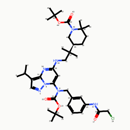 CC(C)c1cnn2c(N(Cc3cccc(NC(=O)CCl)c3)C(=O)OC(C)(C)C)cc(NCC(C)(C)[C@@H]3CCC(C)(C)N(C(=O)OC(C)(C)C)C3)nc12